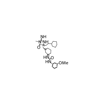 COc1cccc(NC(=O)N[C@@H]2CCC[C@H](C[C@@]3(CCC4CCCCC4)NC(=N)N(C)C3=O)C2)c1